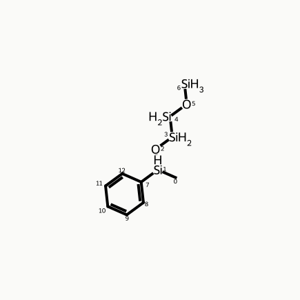 C[SiH](O[SiH2][SiH2]O[SiH3])c1ccccc1